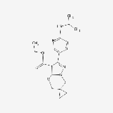 CCOC(=O)c1c(-c2ccc(NC(C)C)nc2)nn2c1OCC1(CC1)C2